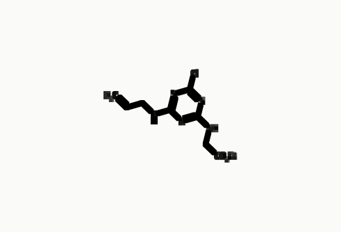 C=CCNc1nc(Cl)nc(NCC(=O)OCC)n1